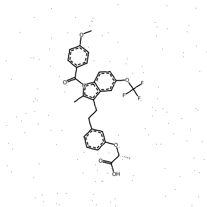 COc1ccc(C(=O)n2c(C)c(CCc3cccc(O[C@H](C)C(=O)O)c3)c3cc(OC(F)(F)F)ccc32)cc1